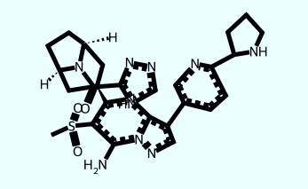 CS(=O)(=O)c1c([C@H]2C[C@H]3CC[C@@H](C2)N3C(=O)c2nnc[nH]2)nc2c(-c3ccc(C4CCCN4)nc3)cnn2c1N